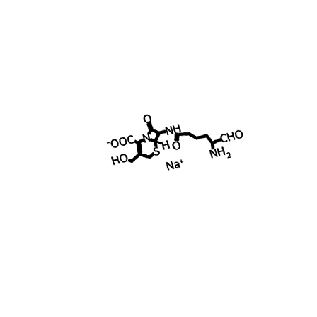 NC(C=O)CCCC(=O)NC1C(=O)N2C(C(=O)[O-])=C(CO)CS[C@@H]12.[Na+]